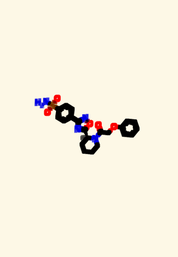 NS(=O)(=O)c1ccc(-c2noc([C@H]3CCCCN3C(=O)COc3ccccc3)n2)cc1